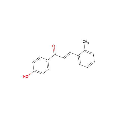 Cc1ccccc1C=CC(=O)c1ccc(O)cc1